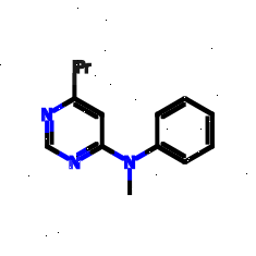 CC(C)c1cc(N(C)c2ccccc2)ncn1